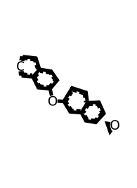 C1CO1.c1ccc2cc(Oc3ccc4ccccc4c3)ccc2c1